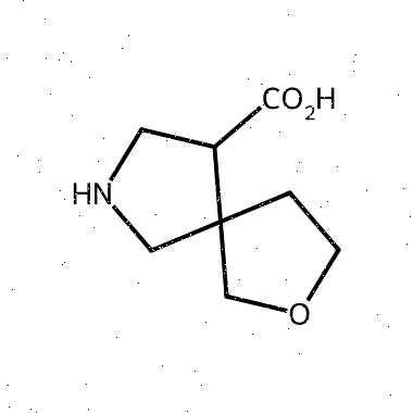 O=C(O)C1CNCC12CCOC2